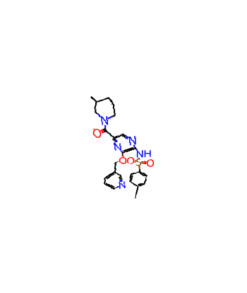 Cc1ccc(S(=O)(=O)Nc2ncc(C(=O)N3CCCC(C)C3)nc2OCc2cccnc2)cc1